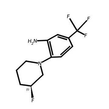 Nc1cc(C(F)(F)F)ccc1N1CCC[C@H](F)C1